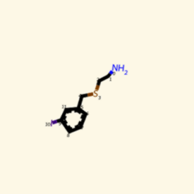 NCCSCc1cccc(I)c1